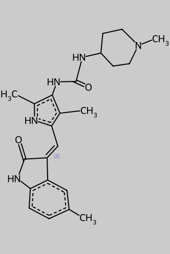 Cc1ccc2c(c1)/C(=C/c1[nH]c(C)c(NC(=O)NC3CCN(C)CC3)c1C)C(=O)N2